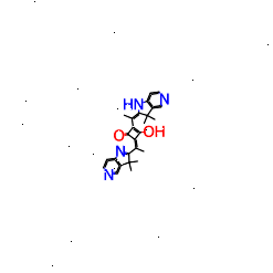 C/C(C1=Nc2ccncc2C1(C)C)=C1/C(=O)C(C(/C)=C2/Nc3ccncc3C2(C)C)=C1O